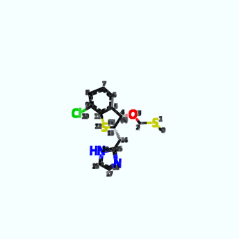 CSCO[C@H]1c2cccc(Cl)c2S[C@H]1Cc1ncc[nH]1